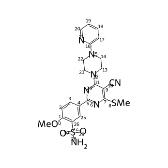 COc1ccc(-c2nc(SC)c(C#N)c(N3CCN(c4ccccn4)CC3)n2)cc1S(N)(=O)=O